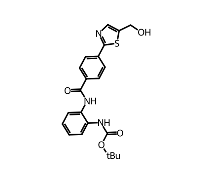 CC(C)(C)OC(=O)Nc1ccccc1NC(=O)c1ccc(-c2ncc(CO)s2)cc1